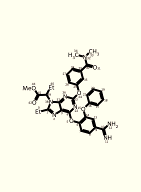 CCc1nc2c(Oc3ccc(C(=N)N)cc3Oc3ccccc3)nc(Oc3cccc(C(=O)N(C)C)c3)nc2n1C(CC)C(=O)OC